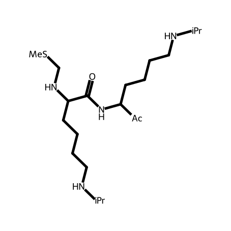 CSCNC(CCCCNC(C)C)C(=O)NC(CCCCNC(C)C)C(C)=O